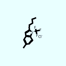 CCCCc1cc2cc(C)ccc2[s+]1C(F)(F)F.[Cl-]